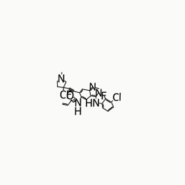 C=CC(=O)Nc1cc2c(Nc3cccc(Cl)c3F)ncnc2cc1C#CC1(C(F)(F)F)CCN(C)C1